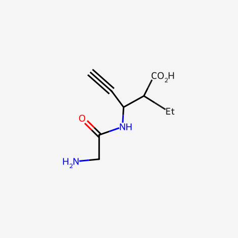 C#CC(NC(=O)CN)C(CC)C(=O)O